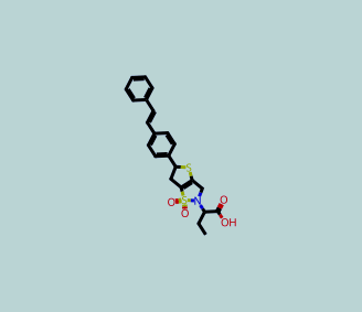 CCC(C(=O)O)N1CC2=C(CC(c3ccc(/C=C/c4ccccc4)cc3)S2)S1(=O)=O